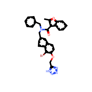 Cc1oc2ccccc2c1C(=O)N(Cc1ccccc1)Cc1ccc2c(Br)c(OCc3nnn[nH]3)ccc2c1